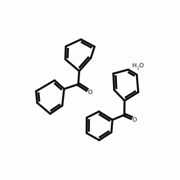 O.O=C(c1ccccc1)c1ccccc1.O=C(c1ccccc1)c1ccccc1